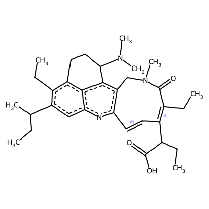 CC/C1=C(C(CC)C(=O)O)/C=C/c2nc3cc(C(C)CC)c(CC)c4c3c(c2CN(C)C1=O)C(N(C)C)CC4